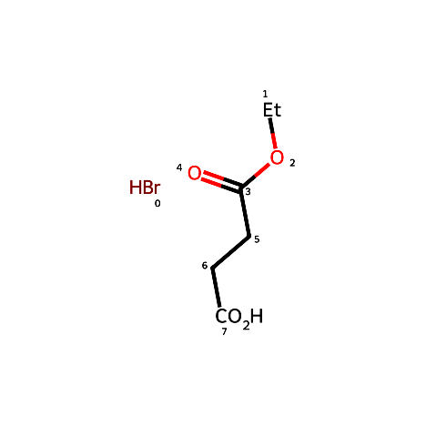 Br.CCOC(=O)CCC(=O)O